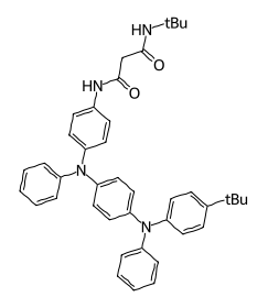 CC(C)(C)NC(=O)CC(=O)Nc1ccc(N(c2ccccc2)c2ccc(N(c3ccccc3)c3ccc(C(C)(C)C)cc3)cc2)cc1